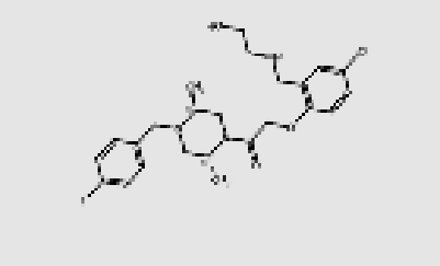 C[C@@H]1CN(Cc2ccc(F)cc2)[C@@H](C)CN1C(=O)COc1ccc(Cl)cc1CNCCO